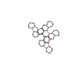 c1ccc(N(c2cccc3c2Cc2ccccc2-3)c2ccc3ccccc3c2-c2c(N(c3ccccc3)c3cccc4c3Cc3ccccc3-4)ccc3ccccc23)cc1